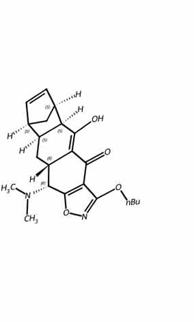 CCCCOc1noc2c1C(=O)C1=C(O)[C@H]3[C@@H](C[C@H]1[C@H]2N(C)C)[C@H]1C=C[C@@H]3C1